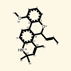 CC=CC1Oc2cccc(OC)c2-c2ccc3c(c21)C(C)=CC(C)(C)N3